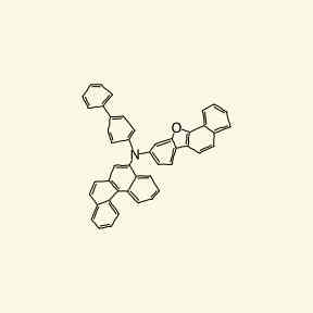 c1ccc(-c2ccc(N(c3ccc4c(c3)oc3c5ccccc5ccc43)c3cc4ccc5ccccc5c4c4ccccc34)cc2)cc1